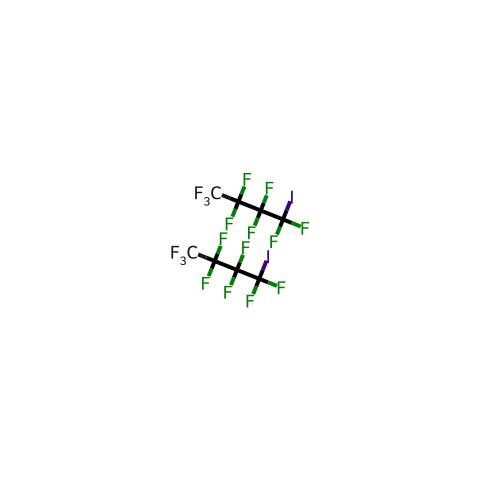 FC(F)(F)C(F)(F)C(F)(F)C(F)(F)I.FC(F)(F)C(F)(F)C(F)(F)C(F)(F)I